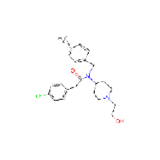 Cc1ccc(CN(C(=O)Cc2ccc(Cl)cc2)C2CCN(CCO)CC2)cc1